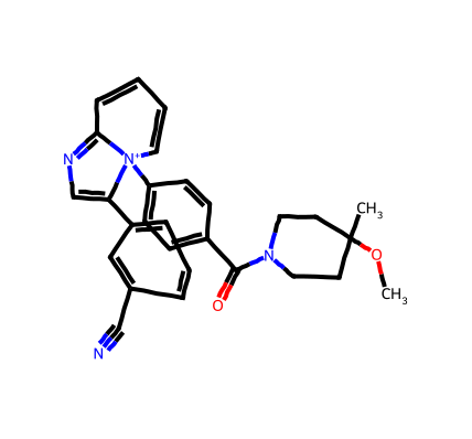 COC1(C)CCN(C(=O)c2ccc([N+]34C=CC=CC3=NC=C4c3cccc(C#N)c3)cc2)CC1